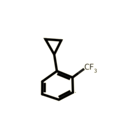 FC(F)(F)c1[c]cccc1C1CC1